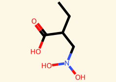 CCC(CN(O)O)C(=O)O